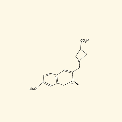 CC(C)COc1ccc2c(c1)C[C@H](C)C(CN1CC(C(=O)O)C1)=C2